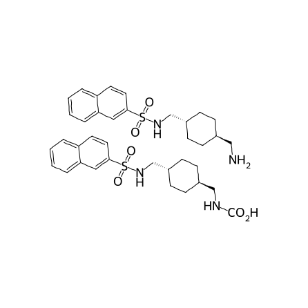 NC[C@H]1CC[C@H](CNS(=O)(=O)c2ccc3ccccc3c2)CC1.O=C(O)NC[C@H]1CC[C@H](CNS(=O)(=O)c2ccc3ccccc3c2)CC1